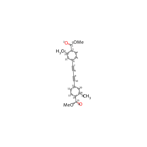 COC(=O)c1ccc(C#CC#Cc2ccc(C(=O)OC)c(C)c2)cc1C